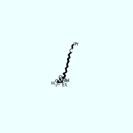 CCC(NC(=O)CCCCCCCCCCCCCCC(C)C)[N+](C)(C)[O-]